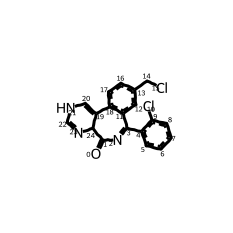 O=C1N=C(c2ccccc2Cl)c2cc(CCl)ccc2C2=CNC=NC12